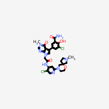 CN1CCC2(C1)CN(c1cc(NC(=O)Cn3cc(-c4cc(Cl)c(O)c(C(N)=O)c4)c4c(=O)n(C)cnc43)c(Cl)cn1)CCO2